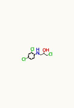 OC(CCl)CNc1ccc(Cl)cc1Cl